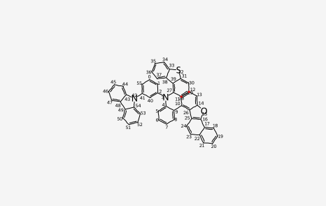 c1cc(N(c2ccccc2-c2cccc3oc4c5ccccc5ccc4c23)c2cccc3sc4ccccc4c23)cc(-n2c3ccccc3c3ccccc32)c1